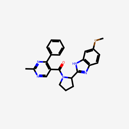 CSc1ccc2nc(C3CCCN3C(=O)c3cnc(C)nc3-c3ccccc3)[nH]c2c1